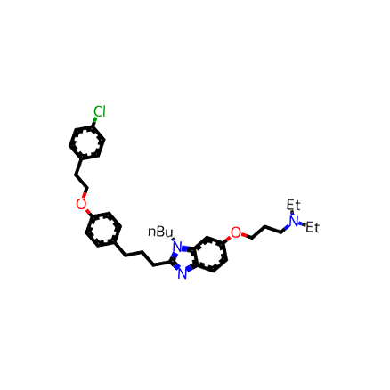 CCCCn1c(CCCc2ccc(OCCc3ccc(Cl)cc3)cc2)nc2ccc(OCCCN(CC)CC)cc21